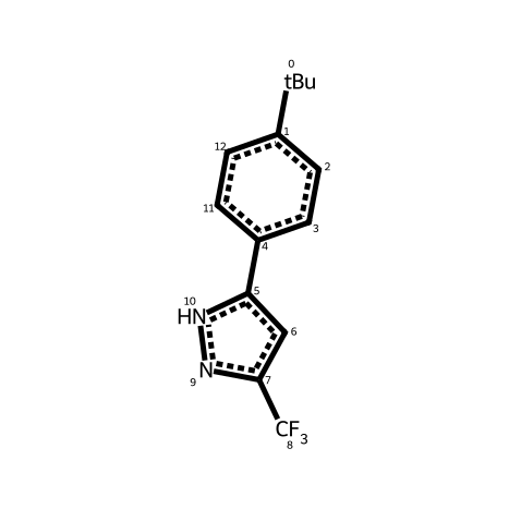 CC(C)(C)c1ccc(-c2cc(C(F)(F)F)n[nH]2)cc1